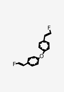 FC=Cc1ccc(Oc2ccc(C=CF)cc2)cc1